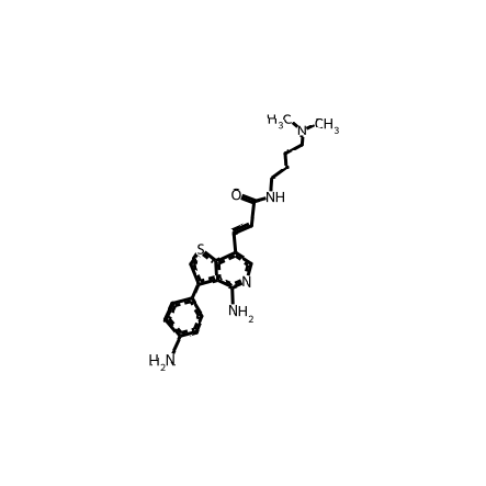 CN(C)CCCCNC(=O)C=Cc1cnc(N)c2c(-c3ccc(N)cc3)csc12